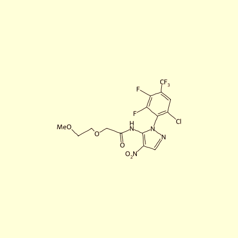 COCCOCC(=O)Nc1c([N+](=O)[O-])cnn1-c1c(Cl)cc(C(F)(F)F)c(F)c1F